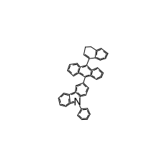 C1=C(c2c3ccccc3c(-c3ccc4c(c3)c3ccccc3n4-c3ccccc3)c3ccccc23)c2ccccc2CC1